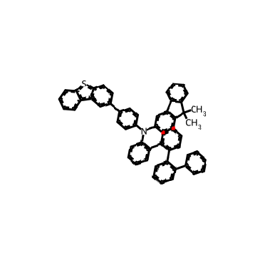 CC1(C)c2ccccc2-c2cc(N(c3ccc(-c4ccc5sc6ccccc6c5c4)cc3)c3ccccc3-c3ccccc3-c3ccccc3-c3ccccc3)ccc21